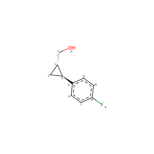 OC[C@H]1C[C@@H]1c1ccc(F)cc1